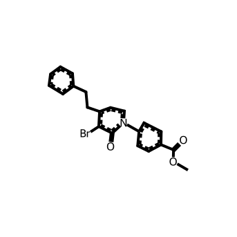 COC(=O)c1ccc(-n2ccc(CCc3ccccc3)c(Br)c2=O)cc1